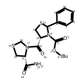 CC(C)(C)OC(=O)N1C(c2ccccc2)SC[C@H]1C(=O)N1CSC[C@H]1C(N)=O